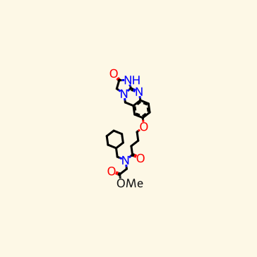 COC(=O)CN(CC1CCCCC1)C(=O)CCCOc1ccc2c(c1)CN1CC(=O)NC1=N2